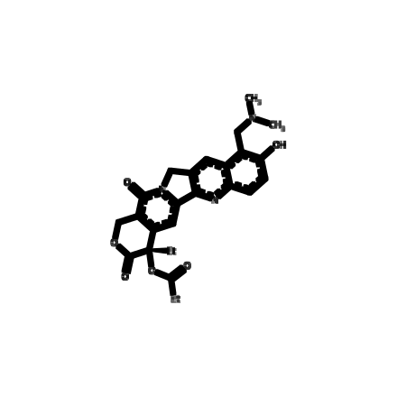 CCC(=O)O[C@]1(CC)C(=O)OCc2c1cc1n(c2=O)Cc2cc3c(CN(C)C)c(O)ccc3nc2-1